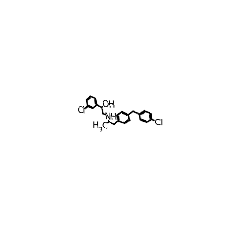 CC(Cc1ccc(Cc2ccc(Cl)cc2)cc1)NCC(O)c1cccc(Cl)c1